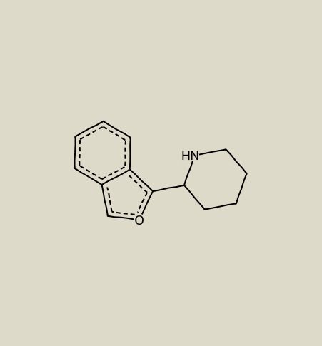 c1ccc2c(C3CCCCN3)occ2c1